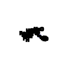 COc1ccc(/C=C/CN2CCOCC2)cc1-c1n[nH]c2nc(Nc3ccc(F)cc3F)ncc12